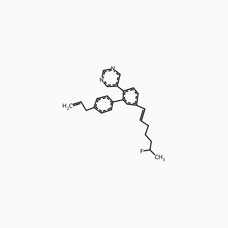 C=CCc1ccc(-c2cc(C=CCCCC(C)F)ccc2-c2cncnc2)cc1